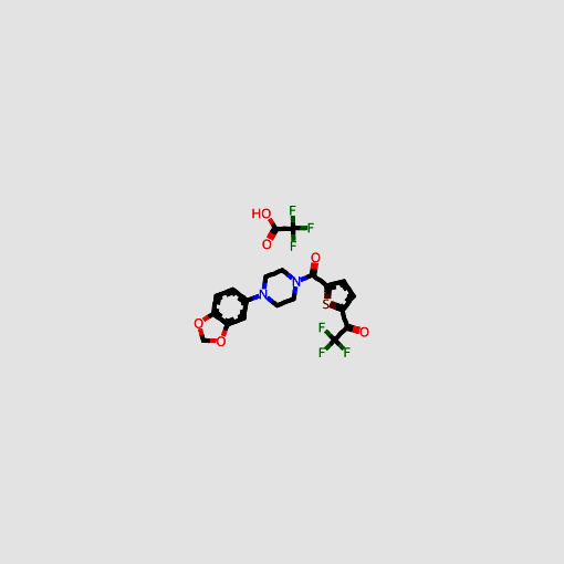 O=C(O)C(F)(F)F.O=C(c1ccc(C(=O)C(F)(F)F)s1)N1CCN(c2ccc3c(c2)OCO3)CC1